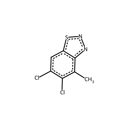 Cc1c(Cl)c(Cl)cc2snnc12